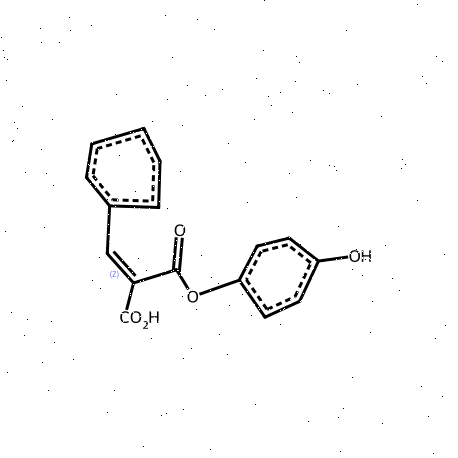 O=C(O)/C(=C/c1ccccc1)C(=O)Oc1ccc(O)cc1